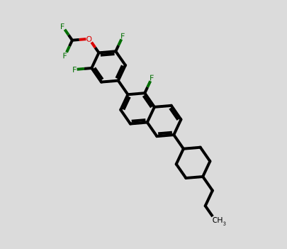 CCCC1CCC(c2ccc3c(F)c(-c4cc(F)c(OC(F)F)c(F)c4)ccc3c2)CC1